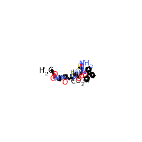 C=CCOC(=O)N1CC[C@@H](N2CC/C(=C\C3=C(C(=O)O)N4C(=O)[C@@H](NC(=O)/C(=N\OC(c5ccccc5)(c5ccccc5)c5ccccc5)c5csc(N)n5)[C@H]4SC3)C2=O)C1